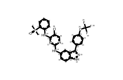 CP(C)(=O)c1ccccc1Nc1nc(Nc2ccc3[nH]nc(-c4ccc(OC(F)(F)F)cc4)c3c2)ncc1Cl